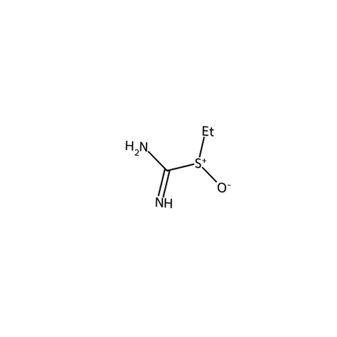 CC[S+]([O-])C(=N)N